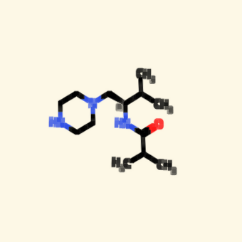 CC(C)C(=O)N[C@@H](CN1CCNCC1)C(C)C